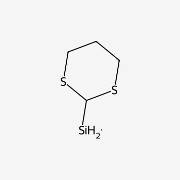 [SiH2]C1SCCCS1